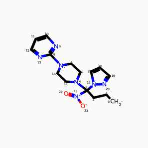 [CH2]CCC(N1CCN(c2ncccn2)CC1)(n1cccn1)[N+](=O)[O-]